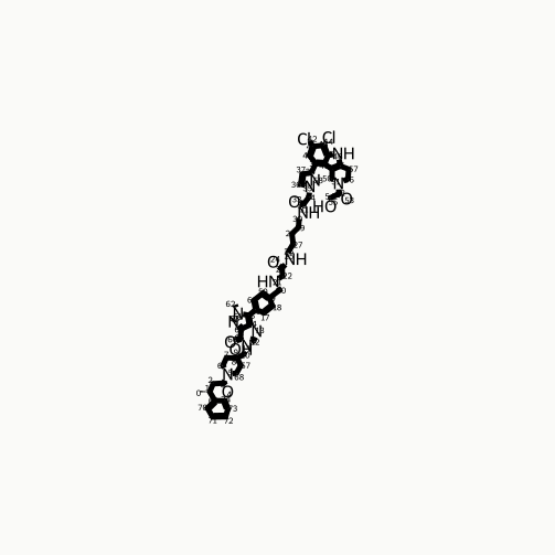 C[C@H](CC(=O)N1CCC(O)(Cn2cnc3c(-c4ccc(CNCC(=O)NCCCCCNC(=O)Cn5ccc(-c6cc(Cl)c(Cl)c7[nH]c8c(c67)CN(C(=O)CO)CC8)n5)cc4)n(C)nc3c2=O)CC1)c1ccccc1